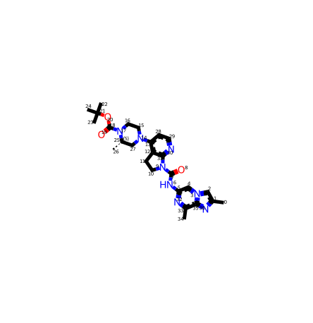 Cc1cn2cc(NC(=O)N3CCc4c(N5CCN(C(=O)OC(C)(C)C)[C@@H](C)C5)ccnc43)nc(C)c2n1